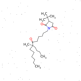 CCCCCCC(C)(CCCC)C(=O)CCCCCN1C(=O)CC(C(C)(C)C)C1=O